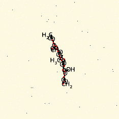 C=CC(=O)OCCCCOc1ccc(C=CC(=O)Oc2ccc3c(c2)C(C)c2cc(OC(=O)C=Cc4ccc(OCCCCOC(=O)C=C)c(OC)c4)ccc2-3)cc1CO